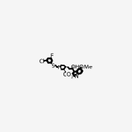 COc1ccc2nccc([C@H](O)CC[C@@H]3CCN(CCSc4cc(F)cc(Cl)c4)C[C@@H]3CC(=O)O)c2c1